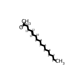 CCCCCCCCCCCC=CCCC(C)=O